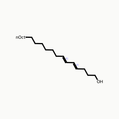 CCCCCCCCCCCCCC/C=C/C=C/CCCO